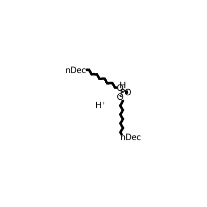 CCCCCCCCCCCCCCCCCCO[PH](=O)OCCCCCCCCCCCCCCCCCC.[H+]